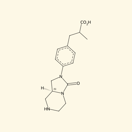 CC(Cc1ccc(N2C[C@@H]3CNCCN3C2=O)cc1)C(=O)O